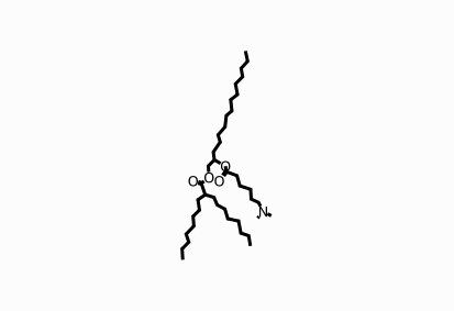 CCCCCCCCCCCCCC(COC(=O)C(CCCCCCCC)CCCCCCCC)OC(=O)CCCCCN(C)C